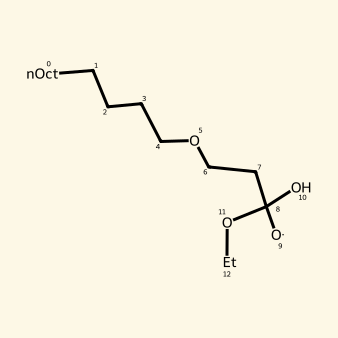 CCCCCCCCCCCCOCCC([O])(O)OCC